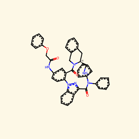 NC[C@@H]1Cc2ccccc2CN1C(=O)c1cc(NC(=O)COc2ccccc2)ccc1-n1nc(C(=O)N(c2ccccc2)c2ccccc2)c2ccccc21